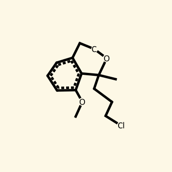 COc1cccc2c1C(C)(CCCCl)OCC2